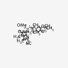 COC[C@H]1CN(C(C)c2ccc3c(c2)OC(C)(C)CO3)[C@H](C)CN1c1nc(=O)n(C)c2c1nc(CC#N)n2C